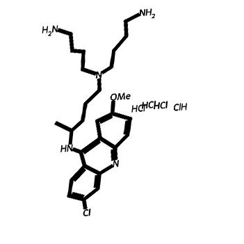 COc1ccc2nc3cc(Cl)ccc3c(NC(C)CCCN(CCCCN)CCCCN)c2c1.Cl.Cl.Cl.Cl